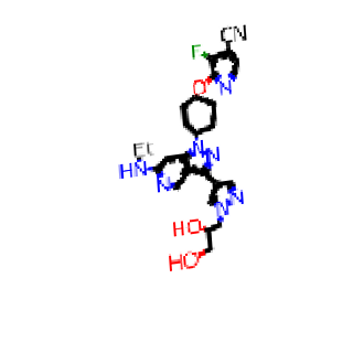 CCNc1cc2c(cn1)c(-c1cnn(CC(O)CO)c1)nn2C1CCC(Oc2nccc(C#N)c2F)CC1